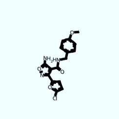 COc1ccc(CNC(=O)c2c(-c3ccc(Cl)o3)noc2N)cc1